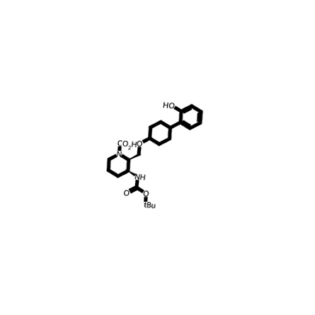 CC(C)(C)OC(=O)N[C@H]1CCCN(C(=O)O)[C@H]1COC1CCC(c2ccccc2O)CC1